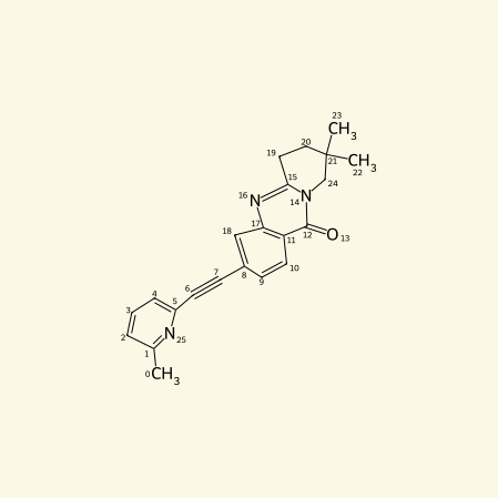 Cc1cccc(C#Cc2ccc3c(=O)n4c(nc3c2)CCC(C)(C)C4)n1